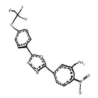 O=[N+]([O-])c1ccc(-c2nnc(-c3ccc(OC(F)(F)F)cc3)o2)cc1P